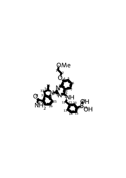 COCCOc1cccc2c(NCc3cccc(B(O)O)c3)nc(N3c4cccc(C(N)=O)c4CC3C)nc12